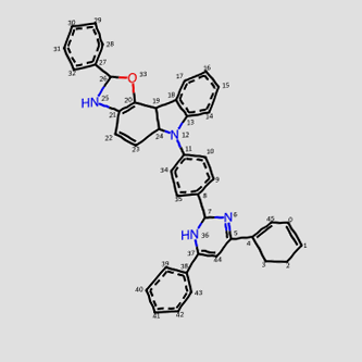 C1=CCCC(C2=NC(c3ccc(N4c5ccccc5C5C6=C(C=CC54)NC(c4ccccc4)O6)cc3)NC(c3ccccc3)=C2)=C1